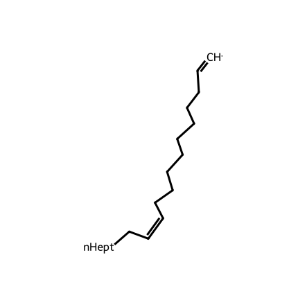 [CH]=CCCCCCCCC/C=C\CCCCCCCC